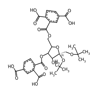 CC(C)(C)OC[C@@]1(OC(C)(C)C)OC(COC(=O)c2cc(C(=O)O)ccc2C(=O)O)C(OC(=O)c2ccc(C(=O)O)cc2C(=O)O)C1O